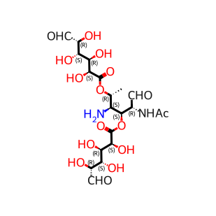 CC(=O)N[C@@H](C=O)[C@@H](OC(=O)[C@@H](O)[C@H](O)[C@H](O)[C@@H](O)C=O)[C@@H](N)[C@@H](C)OC(=O)[C@@H](O)[C@H](O)[C@H](O)[C@@H](O)C=O